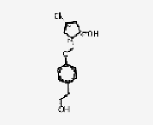 OCCc1ccc(OC[C@@H]2C[C@H](Cl)C[C@H]2O)cc1